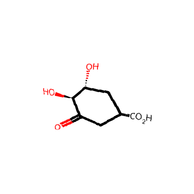 O=C(O)C1CC(=O)[C@@H](O)[C@H](O)C1